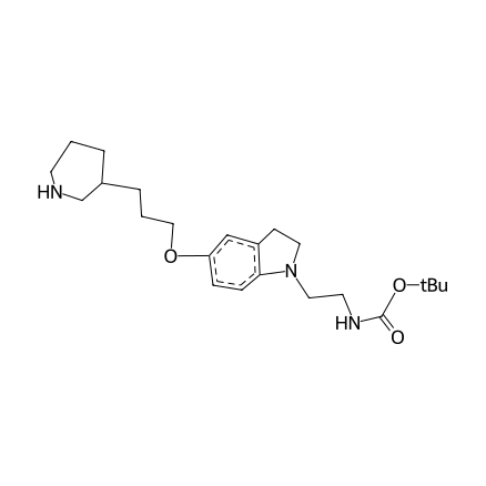 CC(C)(C)OC(=O)NCCN1CCc2cc(OCCCC3CCCNC3)ccc21